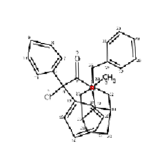 CN(C(=O)C(Cl)(c1ccccc1)c1ccccc1)C1C2CCC1CN(Cc1ccccc1)C2